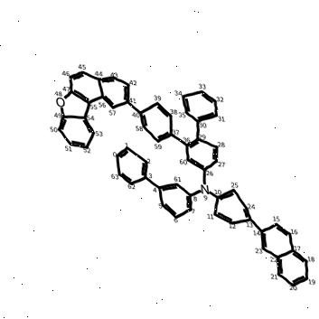 c1ccc(-c2cccc(N(c3ccc(-c4ccc5ccccc5c4)cc3)c3ccc(-c4ccccc4)c(-c4ccc(-c5ccc6ccc7oc8ccccc8c7c6c5)cc4)c3)c2)cc1